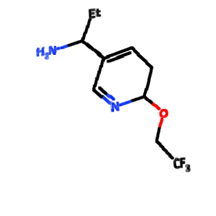 CCC(N)C1=CCC(OCC(F)(F)F)N=C1